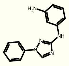 Nc1cccc(Nc2ncn(-c3ccccc3)n2)c1